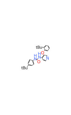 CC(C)(C)c1ccc(NC(=O)Nc2ccncc2Oc2ccccc2C(C)(C)C)cc1